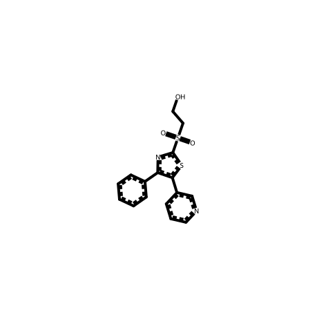 O=S(=O)(CCO)c1nc(-c2ccccc2)c(-c2cccnc2)s1